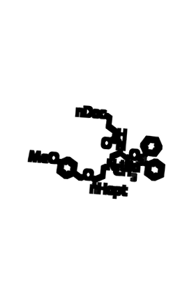 CCCCCCCCCCCCCC(=O)N[C@@H](CO[Si](c1ccccc1)(c1ccccc1)C(C)(C)C)CN(C)CC[C@@H](CCCCCCC)OCc1ccc(OC)cc1